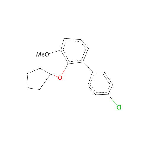 COc1cccc(-c2ccc(Cl)cc2)c1OC1CCCC1